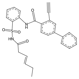 C#Cc1cc(-c2ccccc2)ccc1C(=O)Nc1ccccc1S(=O)(=O)NC(=O)C/C=C/CC